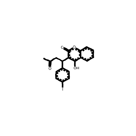 CC(=O)CC(c1ccc(I)cc1)c1c(O)c2ccccc2oc1=O